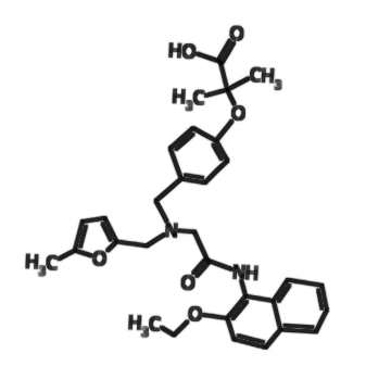 CCOc1ccc2ccccc2c1NC(=O)CN(Cc1ccc(OC(C)(C)C(=O)O)cc1)Cc1ccc(C)o1